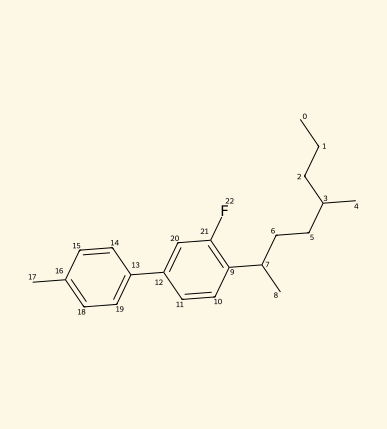 CCCC(C)CCC(C)c1ccc(-c2ccc(C)cc2)cc1F